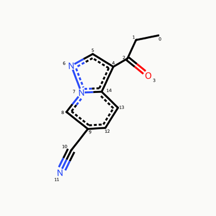 CCC(=O)c1cnn2cc(C#N)ccc12